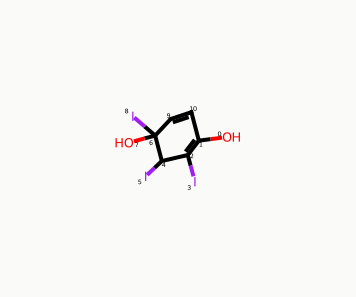 OC1=C(I)C(I)C(O)(I)C=C1